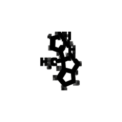 CC1(c2cc[nH]n2)NCC2CCC=C21